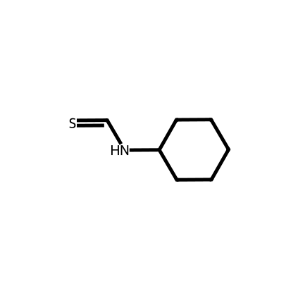 S=CNC1CCCCC1